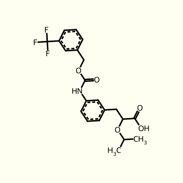 CC(C)OC(Cc1cccc(NC(=O)OCc2cccc(C(F)(F)F)c2)c1)C(=O)O